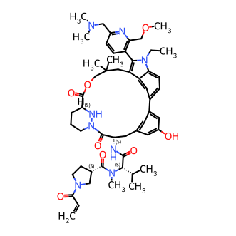 C=CC(=O)N1CC[C@H](C(=O)N(C)[C@H](C(=O)N[C@H]2Cc3cc(O)cc(c3)-c3ccc4c(c3)c(c(-c3ccc(CN(C)C)nc3COC)n4CC)CC(C)(C)COC(=O)[C@@H]3CCCN(N3)C2=O)C(C)C)C1